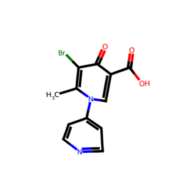 Cc1c(Br)c(=O)c(C(=O)O)cn1-c1ccncc1